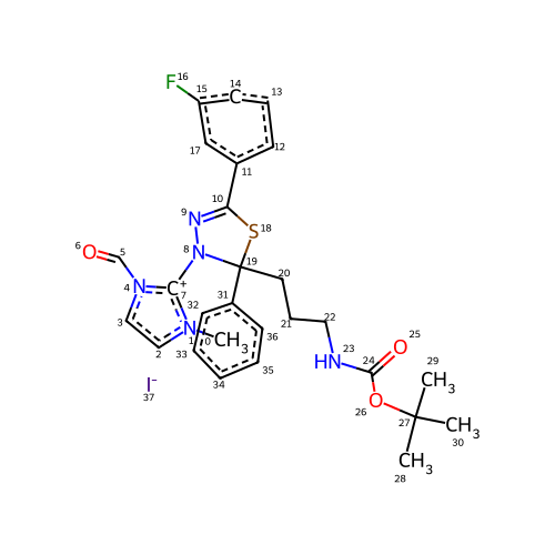 Cn1ccn(C=O)[c+]1N1N=C(c2cccc(F)c2)SC1(CCCNC(=O)OC(C)(C)C)c1ccccc1.[I-]